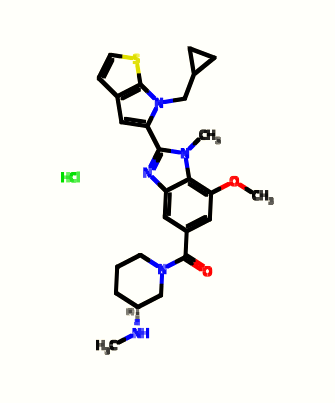 CN[C@@H]1CCCN(C(=O)c2cc(OC)c3c(c2)nc(-c2cc4ccsc4n2CC2CC2)n3C)C1.Cl